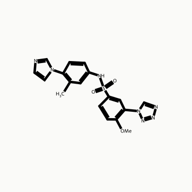 COc1ccc(S(=O)(=O)Nc2ccc(-n3ccnc3)c(C)c2)cc1-n1cnnn1